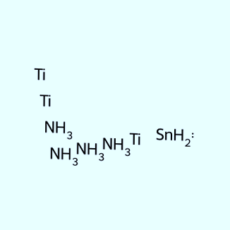 N.N.N.N.[SnH2].[Ti].[Ti].[Ti]